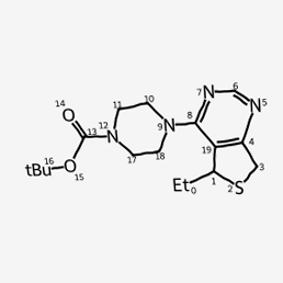 CCC1SCc2ncnc(N3CCN(C(=O)OC(C)(C)C)CC3)c21